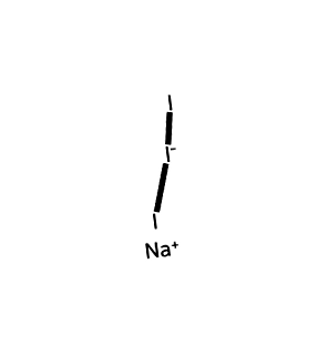 I[I-]I.[Na+]